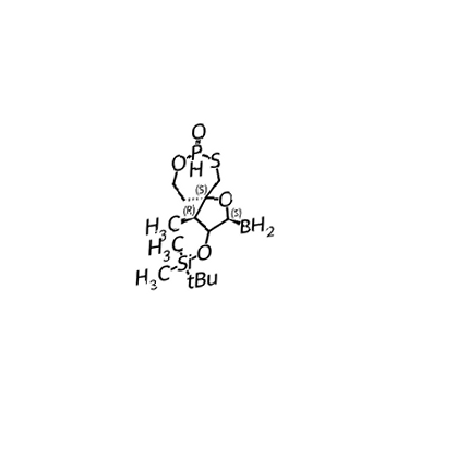 B[C@@H]1O[C@@]2(CCO[PH](=O)SC2)[C@H](C)C1O[Si](C)(C)C(C)(C)C